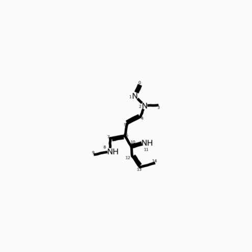 C=NN(C)/C=C/C(=C/NC)C(=N)/C=C\C